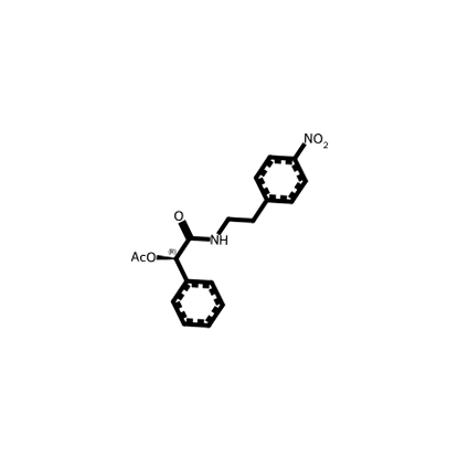 CC(=O)O[C@@H](C(=O)NCCc1ccc([N+](=O)[O-])cc1)c1ccccc1